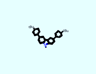 Cn1c2ccc(-c3ccc(C(C)(C)C)cc3)cc2c2cc(-c3ccc(C(C)(C)C)cc3)ccc21